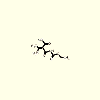 CCOC(=O)NC(=S)C(C(=O)O)=C(C)N